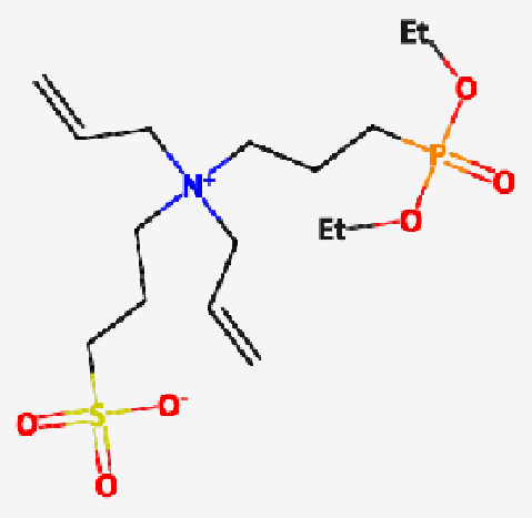 C=CC[N+](CC=C)(CCCP(=O)(OCC)OCC)CCCS(=O)(=O)[O-]